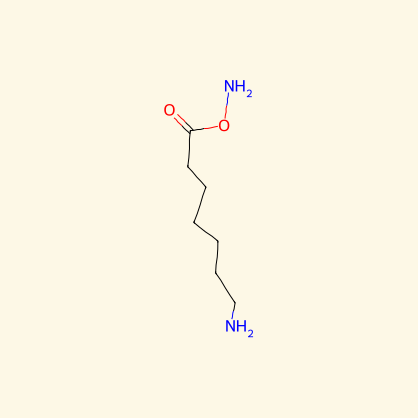 NCCCCCCC(=O)ON